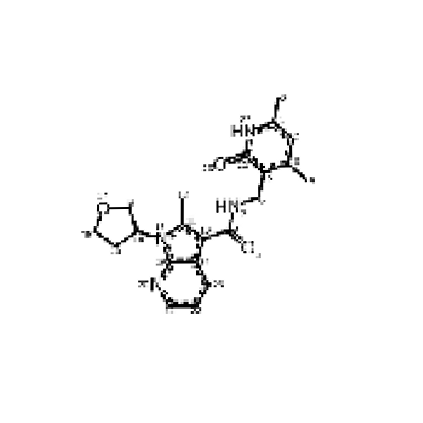 Cc1cc(C)c(CNC(=O)c2c(C)n(C3CCOC3)c3ncccc23)c(=O)[nH]1